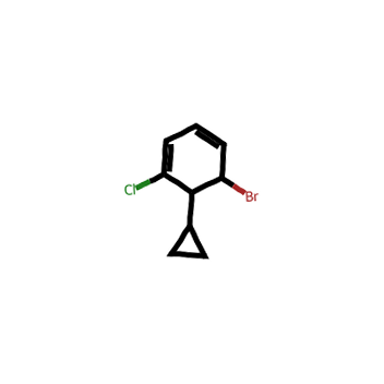 ClC1=CC=CC(Br)C1C1CC1